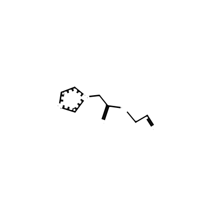 C=CCOC(=O)Cn1ccnc1